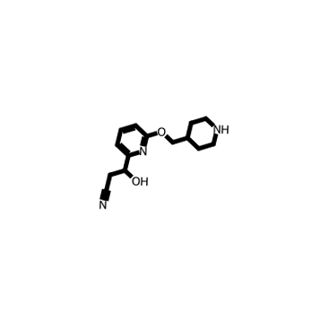 N#CCC(O)c1cccc(OCC2CCNCC2)n1